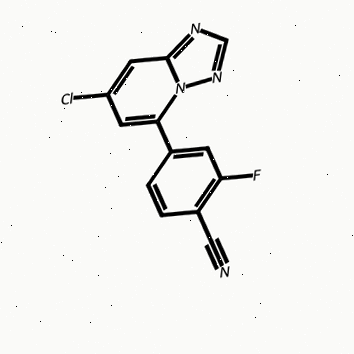 N#Cc1ccc(-c2cc(Cl)cc3ncnn23)cc1F